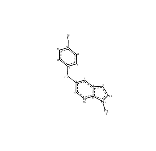 CCn1ncc2cc(Sc3ccc(F)cc3)cnc21